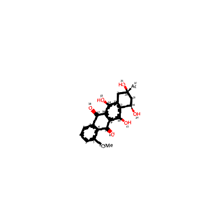 COc1cccc2c1C(=O)c1c(O)c3c(c(O)c1C2=O)C[C@@](O)(C(C)=O)C[C@H]3O